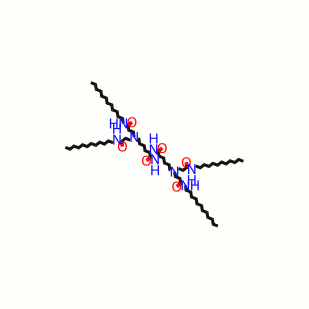 CCCCCCCCCCCCNC(=O)CCN(CCCCC1NC(=O)C(CCCCN(CCC(=O)NCCCCCCCCCCCC)CCC(=O)NCCCCCCCCCCCC)NC1=O)CCC(=O)NCCCCCCCCCCCC